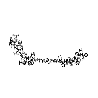 Cn1ncc(-c2nc(N[C@H]3CC[C@H](N(CC(=O)NCCOCCOCCOCCNC(=O)NCc4cc5c(s4)C(=O)N(C4CCC(=O)NC4=O)C5)C(=O)O)CC3)ncc2Cl)c1CC1CC1